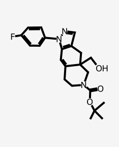 CC(C)(C)OC(=O)N1CCC2=Cc3c(cnn3-c3ccc(F)cc3)CC2(CO)C1